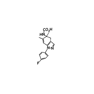 CC1=Cc2c(cnn2-c2ccc(F)cc2)CC1(C)NC(=O)O